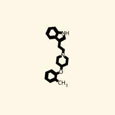 Cc1ccccc1OC1CCN(CCc2c[nH]c3ccccc23)CC1